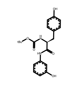 CC(C)(C)OC(=O)N[C@@H](Cc1ccc(O)cc1)C(=O)Nc1cccc(O)c1